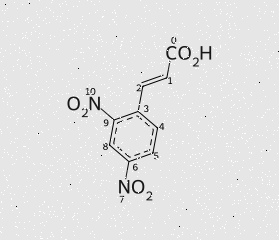 O=C(O)C=Cc1ccc([N+](=O)[O-])cc1[N+](=O)[O-]